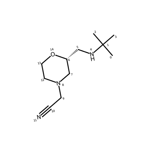 CC(C)(C)NC[C@@H]1CN(CC#N)CCO1